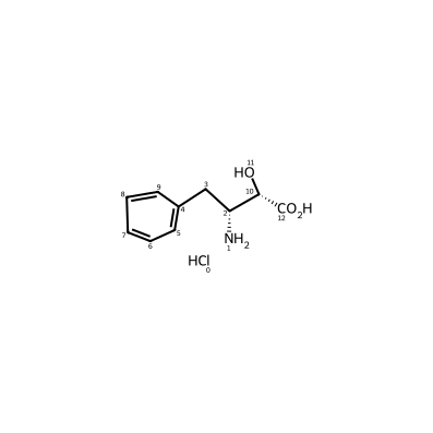 Cl.N[C@H](Cc1ccccc1)[C@H](O)C(=O)O